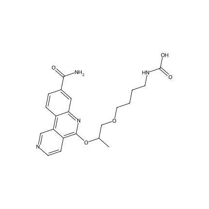 CC(COCCCCNC(=O)O)Oc1nc2cc(C(N)=O)ccc2c2cnccc12